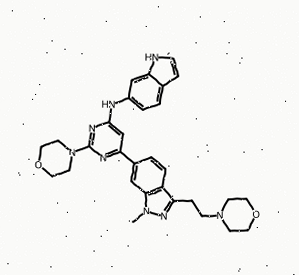 Cn1nc(CCN2CCOCC2)c2ccc(-c3cc(Nc4ccc5cc[nH]c5c4)nc(N4CCOCC4)n3)cc21